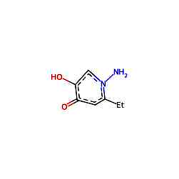 CCc1cc(=O)c(O)cn1N